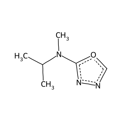 CC(C)N(C)c1nnco1